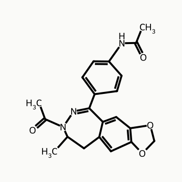 CC(=O)Nc1ccc(C2=NN(C(C)=O)C(C)Cc3cc4c(cc32)OCO4)cc1